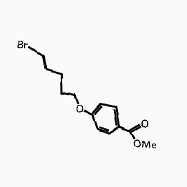 COC(=O)c1ccc(OCCCCCBr)cc1